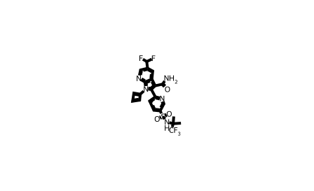 CC(C)(NS(=O)(=O)c1ccc(-c2c(C(N)=O)c3cc(C(F)F)cnc3n2C2=CC=C2)nc1)C(F)(F)F